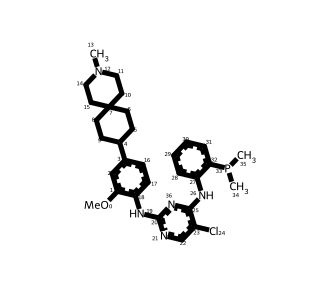 COc1cc(C2CCC3(CC2)CCN(C)CC3)ccc1Nc1ncc(Cl)c(Nc2ccccc2P(C)C)n1